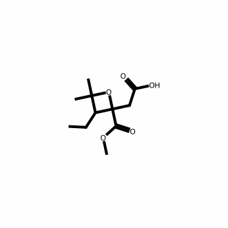 CCC1C(C)(C)OC1(CC(=O)O)C(=O)OC